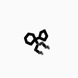 CO[SiH](OC)C1(C2CCCC2)CCCCC1